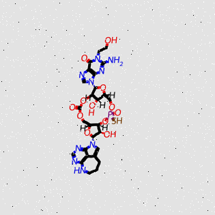 Nc1nc2c(ncn2[C@@H]2O[C@@H]3COP(=O)(S)O[C@H]4[C@@H](O)[C@H](n5cc6c7c(ncnc75)NCCC6)O[C@@H]4COC(=O)O[C@@H]2[C@@H]3O)c(=O)n1CCO